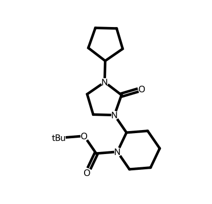 CC(C)(C)OC(=O)N1CCCCC1N1CCN(C2CCCC2)C1=O